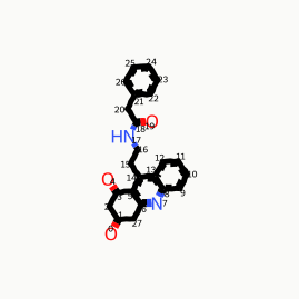 O=C1CC(=O)c2c(nc3ccccc3c2CCNC(=O)Cc2ccccc2)C1